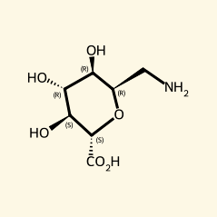 NC[C@H]1O[C@H](C(=O)O)[C@@H](O)[C@H](O)[C@H]1O